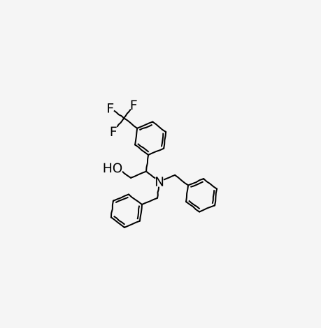 OCC(c1cccc(C(F)(F)F)c1)N(Cc1ccccc1)Cc1ccccc1